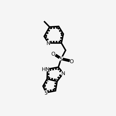 Cc1ccc(CS(=O)(=O)c2nc3cscc3[nH]2)nc1